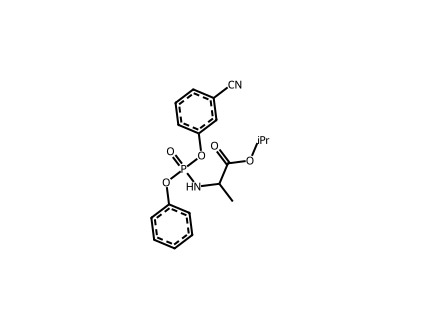 CC(C)OC(=O)C(C)NP(=O)(Oc1ccccc1)Oc1cccc(C#N)c1